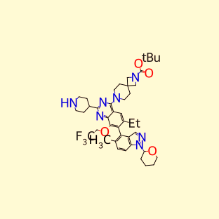 CCc1cc2c(N3CCC4(CC3)CN(C(=O)OC(C)(C)C)C4)nc(C3CCNCC3)nc2c(OCC(F)(F)F)c1-c1c(C)ccc2c1cnn2C1CCCCO1